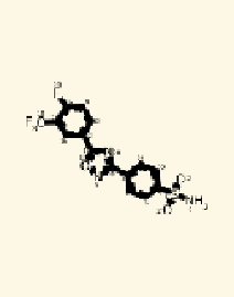 NS(=O)(=O)c1ccc(-c2noc(-c3ccc(F)c(C(F)(F)F)c3)n2)cc1